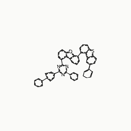 C1=CC(c2ccc3sc4cccc(-c5cccc6c5oc5cccc(-c7nc(-c8ccccc8)nc(-c8ccc(-c9ccccc9)cc8)n7)c56)c4c3c2)=CCC1